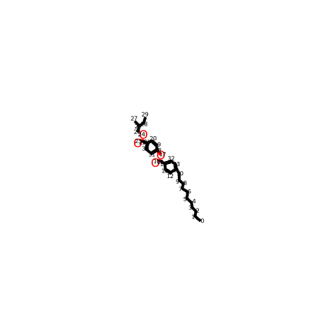 CCCCCCCCCCCc1ccc(C(=O)Oc2ccc(C(=O)OCC(C)CC)cc2)cc1